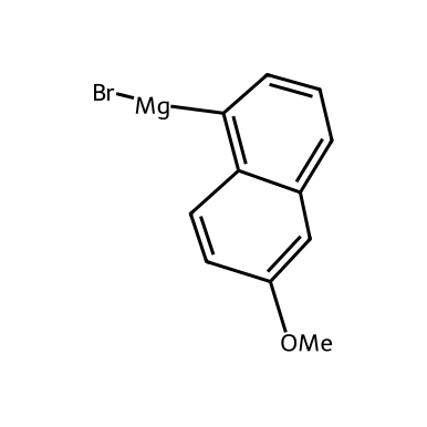 COc1ccc2[c]([Mg][Br])cccc2c1